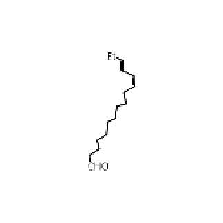 CCC=C/C=C\CCCCCCCCCC=O